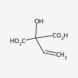 C=CC(O)(C(=O)O)C(=O)O